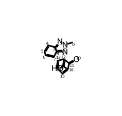 Cn1nc2ccccc2n1.O=C1c2cccc1c2O